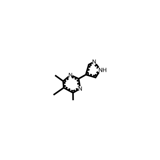 Cc1nc(-c2cn[nH]c2)nc(C)c1C